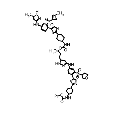 Cc1cc(Nc2ccc(-c3cnc(C4CCC(NC(=O)OC(C)CCc5cc(Nc6ccc(-c7cnc(C8CCC(NC(=O)OC(C)C)CC8)s7)c(S(=O)(=O)C7CCOC7)c6)n[nH]5)CC4)s3)c(S(=O)(=O)C3CN(C)C3)c2)n[nH]1